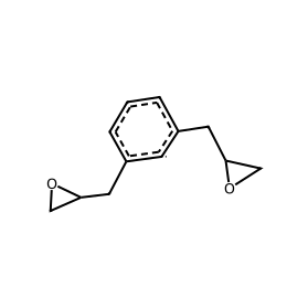 [c]1c(CC2CO2)cccc1CC1CO1